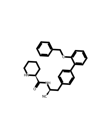 N#C[C@H](Cc1ccc(-c2ccccc2OCc2ccccc2)cc1)NC(=O)[C@@H]1CCCCN1